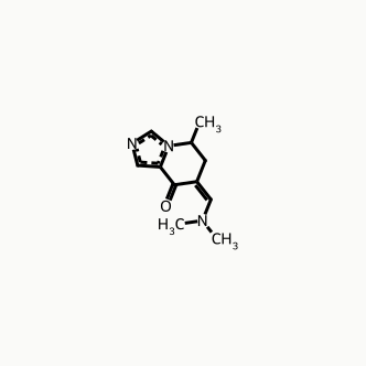 CC1CC(=CN(C)C)C(=O)c2cncn21